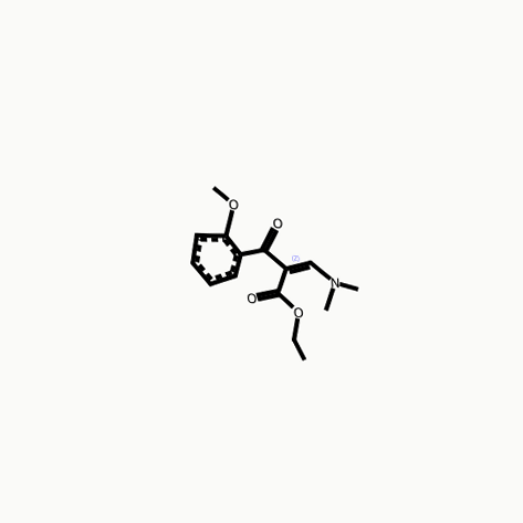 CCOC(=O)/C(=C\N(C)C)C(=O)c1ccccc1OC